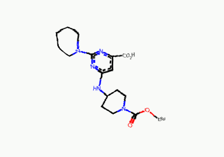 CC(C)(C)OC(=O)N1CCC(Nc2cc(C(=O)O)nc(N3CCCCC3)n2)CC1